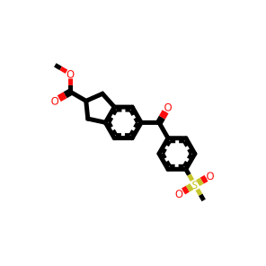 COC(=O)C1Cc2ccc(C(=O)c3ccc(S(C)(=O)=O)cc3)cc2C1